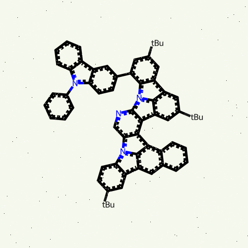 CC(C)(C)c1ccc2c(c1)c1cc3ccccc3c3c4c5c6cc(C(C)(C)C)cc7c8cc(C(C)(C)C)cc(-c9ccc%10c(c9)c9ccccc9n%10-c9ccccc9)c8n(c5ncc4n2c13)c76